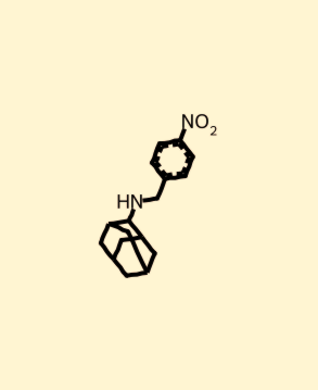 O=[N+]([O-])c1ccc(CNC2C3CC4CC(C3)CC2C4)cc1